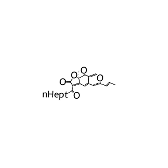 C/C=C/C1=CC2=CC3=C(C(=O)CCCCCCC)C(=O)O[C@@]3(C)C(=O)C2=CO1